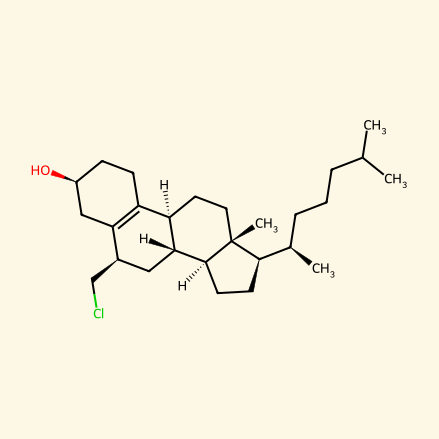 CC(C)CCC[C@@H](C)[C@H]1CC[C@H]2[C@@H]3C[C@@H](CCl)C4=C(CC[C@H](O)C4)[C@H]3CC[C@]12C